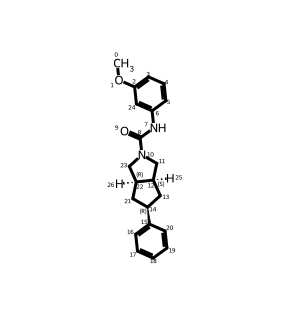 COc1cccc(NC(=O)N2C[C@H]3C[C@@H](c4ccccc4)C[C@H]3C2)c1